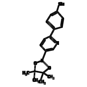 CC(C)(C)c1ccc(-c2ccc(B3OC(C)(C)C(C)(C)O3)cn2)cc1